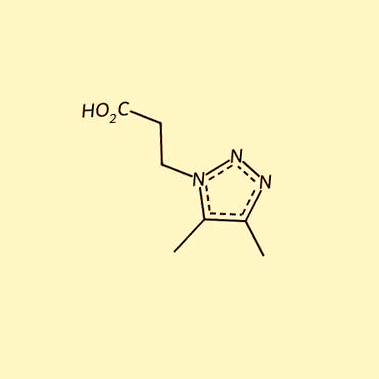 Cc1nnn(CCC(=O)O)c1C